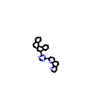 c1ccc2c(c1)ccc1cc(-c3ncnc(-c4ccc5ccc6cccnc6c5n4)n3)c3ccccc3c12